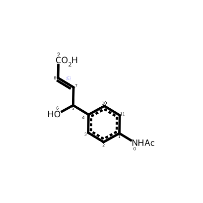 CC(=O)Nc1ccc(C(O)/C=C/C(=O)O)cc1